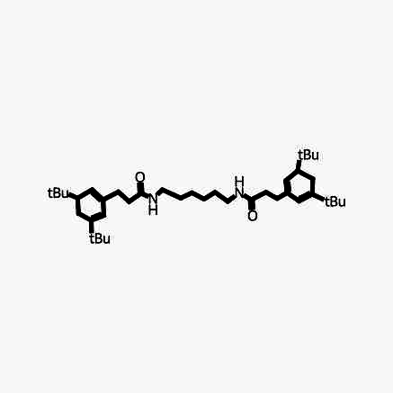 CC(C)(C)C1=CC(CCC(=O)NCCCCCCNC(=O)CCC2=CC(C(C)(C)C)CC(C(C)(C)C)=C2)=CC(C(C)(C)C)C1